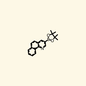 CC1(C)OB(c2cnc3c(ccc4ccccc43)c2)OC1(C)C